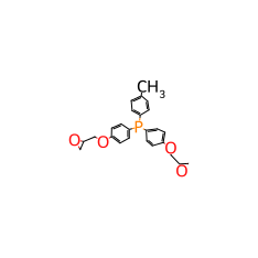 Cc1ccc(P(c2ccc(OCC3CO3)cc2)c2ccc(OCC3CO3)cc2)cc1